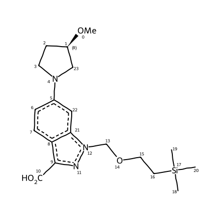 CO[C@@H]1CCN(c2ccc3c(C(=O)O)nn(COCC[Si](C)(C)C)c3c2)C1